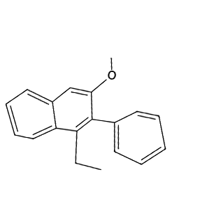 CCc1c(-c2ccccc2)c(OC)cc2ccccc12